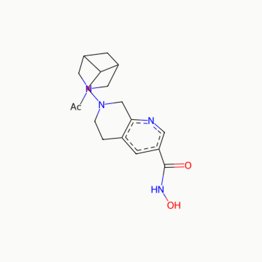 CC(=O)N1CC2CC(C1)C2CN1CCc2cc(C(=O)NO)cnc2C1